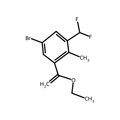 C=C(OCC)c1cc(Br)cc(C(F)F)c1C